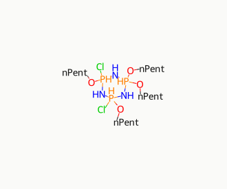 CCCCCO[PH]1(Cl)N[PH](Cl)(OCCCCC)N[PH](OCCCCC)(OCCCCC)N1